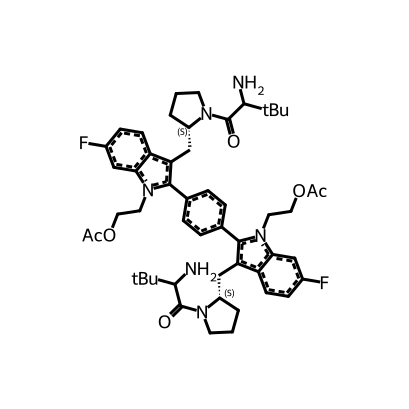 CC(=O)OCCn1c(-c2ccc(-c3c(C[C@@H]4CCCN4C(=O)C(N)C(C)(C)C)c4ccc(F)cc4n3CCOC(C)=O)cc2)c(C[C@@H]2CCCN2C(=O)C(N)C(C)(C)C)c2ccc(F)cc21